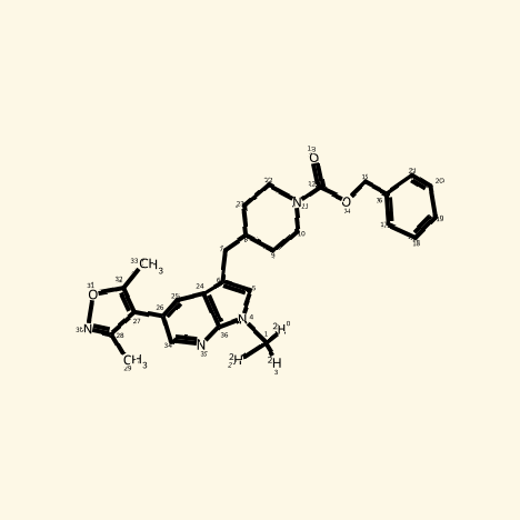 [2H]C([2H])([2H])n1cc(CC2CCN(C(=O)OCc3ccccc3)CC2)c2cc(-c3c(C)noc3C)cnc21